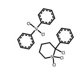 ClC1(c2ccccc2)CCCC[Si]1(Cl)Cl.Cl[Si](Cl)(c1ccccc1)c1ccccc1